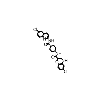 O=C(N[C@H]1CC[C@H](C(=O)Nc2ccc3cc(Cl)ccc3n2)CC1)C1CNc2cc(Cl)ccc2O1